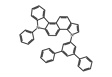 c1ccc(-c2cc(-c3ccccc3)cc(-n3ccc4ccc5c(ccc6c5c5ccccc5n6-c5ccccc5)c43)c2)cc1